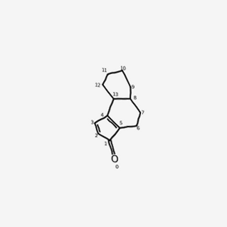 O=C1C=CC2=C1CCC1CCCCC21